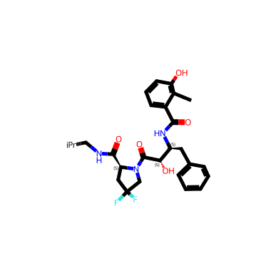 Cc1c(O)cccc1C(=O)N[C@@H](Cc1ccccc1)[C@H](O)C(=O)N1CC(F)(F)C[C@H]1C(=O)NCC(C)C